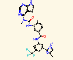 Cc1c[nH]c(-c2cc(NC(=O)c3ccc(C)c(NC(=O)N(C)c4ncnc5[nH]ccc45)c3)cc(C(F)(F)F)c2)n1